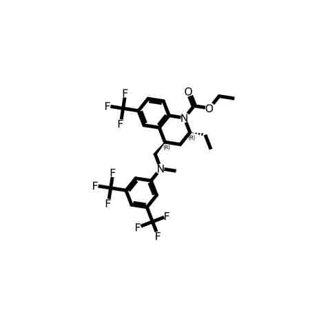 CCOC(=O)N1c2ccc(C(F)(F)F)cc2[C@H](CN(C)c2cc(C(F)(F)F)cc(C(F)(F)F)c2)C[C@H]1CC